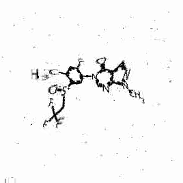 Cc1cc(F)c(-n2cnc3c(cnn3C)c2=O)cc1[S+]([O-])CC(F)(F)F